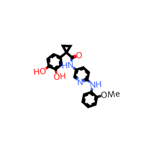 COc1ccccc1Nc1ccc(NC(=O)C2(c3ccc(O)c(O)c3)CC2)cn1